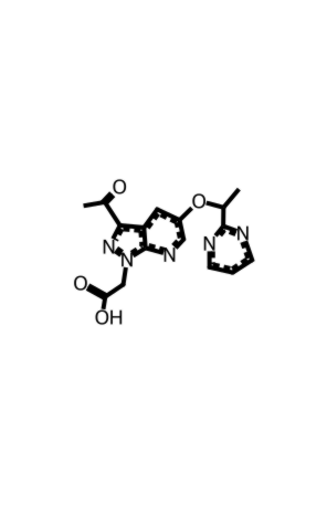 CC(=O)c1nn(CC(=O)O)c2ncc(OC(C)c3ncccn3)cc12